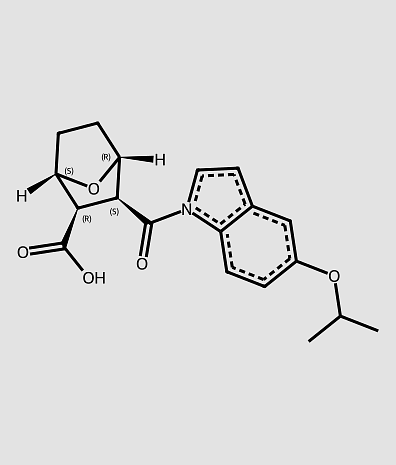 CC(C)Oc1ccc2c(ccn2C(=O)[C@H]2[C@@H](C(=O)O)[C@@H]3CC[C@H]2O3)c1